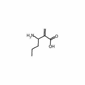 C=C(C(=O)O)C(N)CCC